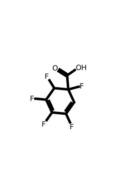 O=C(O)C1(F)C=C(F)C(F)=C(F)C1F